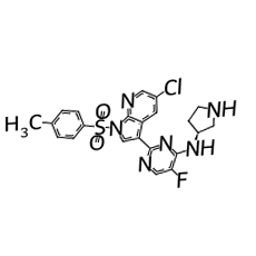 Cc1ccc(S(=O)(=O)n2cc(-c3ncc(F)c(N[C@H]4CCNC4)n3)c3cc(Cl)cnc32)cc1